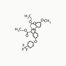 CCOC(=O)Cc1c(C(=O)OCC)c2cc(Oc3ccc(C(F)(F)F)cc3)ccc2n1-c1ccc(OC)cc1